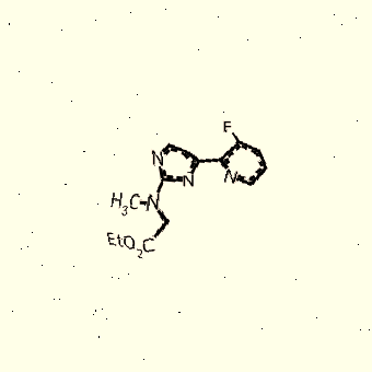 CCOC(=O)CN(C)c1nccc(-c2ncccc2F)n1